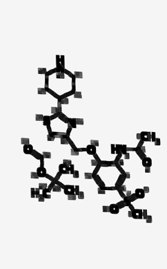 CC(=O)Nc1cc(S(C)(=O)=O)ccc1OCc1csc(C2CCNCC2)n1.CC(C)(C)OC=O